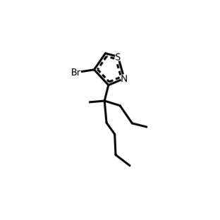 CCCCC(C)(CCC)c1nscc1Br